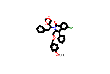 COc1ccc(COCc2c(-c3ccccc3)c3cc(Br)ccc3c(=O)n2C(Cc2ccccc2)C2=COCO2)cc1